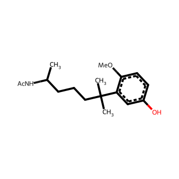 COc1ccc(O)cc1C(C)(C)CCCC(C)NC(C)=O